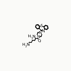 NCCCCC(N)C(=O)N1CCN(C2=Nc3ccccc3Sc3ccccc32)CC1